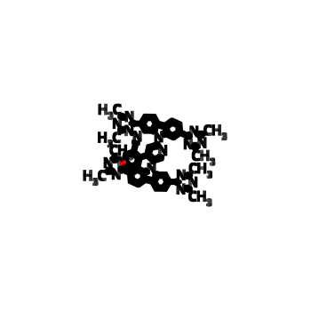 Cc1nc(C)nc(-c2ccc3c4ccc(-c5nc(C)nc(C)n5)cc4n(-c4cc(-c5ccccc5C#N)c(-n5c6cc(-c7nc(C)nc(C)n7)ccc6c6ccc(-c7nc(C)nc(C)n7)cc65)cn4)c3c2)n1